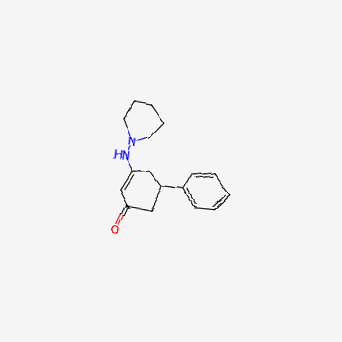 O=C1C=C(NN2CCCCC2)CC(c2ccccc2)C1